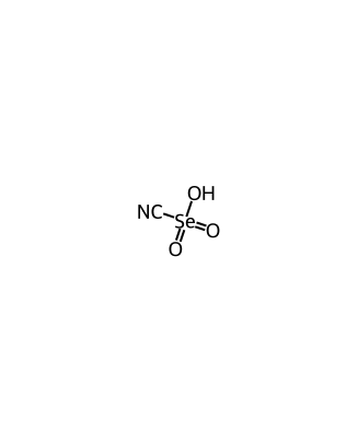 N#C[Se](=O)(=O)O